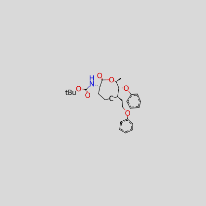 C[C@@H]1OC(=O)[C@@H](NC(=O)OC(C)(C)C)CCC[C@H](CCOc2ccccc2)[C@H]1Oc1ccccc1